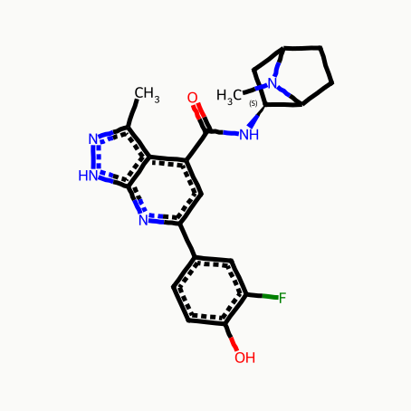 Cc1n[nH]c2nc(-c3ccc(O)c(F)c3)cc(C(=O)N[C@H]3CC4CCC3N4C)c12